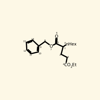 CCCCCCC(CCC(=O)OCC)C(=O)OCc1ccccc1